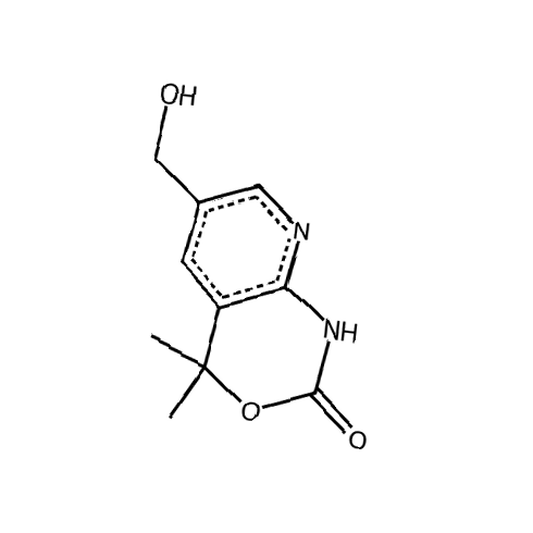 CC1(C)OC(=O)Nc2ncc(CO)cc21